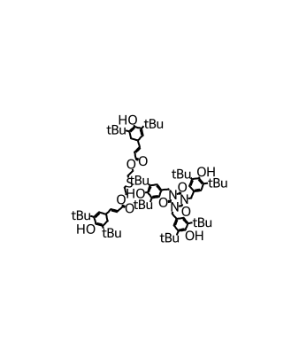 CC(C)(C)C1=CC(C=CC(=O)OCCSCCOC(=O)C=CC2C=C(C(C)(C)C)C(O)=C(C(C)(C)C)C2)CC(C(C)(C)C)=C1O.CC(C)(C)c1cc(Cn2c(=O)n(Cc3cc(C(C)(C)C)c(O)c(C(C)(C)C)c3)c(=O)n(Cc3cc(C(C)(C)C)c(O)c(C(C)(C)C)c3)c2=O)cc(C(C)(C)C)c1O